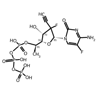 C#CC1(F)[C@@H](O)[C@@H]([C@@H](C)OP(=O)(O)OP(=O)(O)OP(=O)(O)O)O[C@H]1n1cc(F)c(N)nc1=O